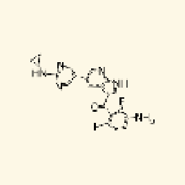 Nc1ccc(F)c(C(=O)c2c[nH]c3ncc(-c4cnc(NC5CC5)nc4)cc23)c1F